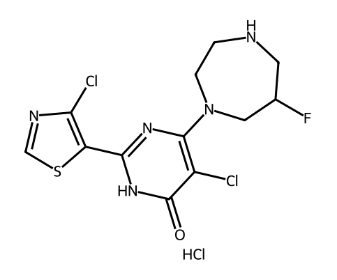 Cl.O=c1[nH]c(-c2scnc2Cl)nc(N2CCNCC(F)C2)c1Cl